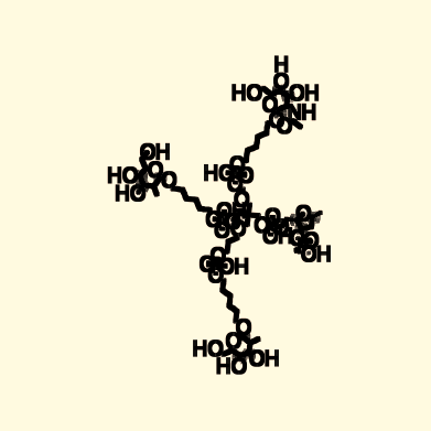 CC(=O)NC1[C@H](OCCCCCCOP(=O)(O)OCOCC(COCCCOP(=O)(O)OCCCCCCO[C@@H]2OC(CO)[C@H](O)[C@H](O)C2C)(COP(=O)(O)OCCCCCCO[C@@H]2OC(CO)[C@H](O)[C@H](O)C2C)COP(=O)(O)OC[C@H]2O[C@@H](C)C[C@@H]2OP(C)(=O)O)OC(CO)[C@H](O)[C@@H]1O